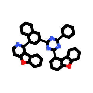 c1ccc(-c2nc(-c3cc(-c4nccc5oc6ccccc6c45)c4ccccc4c3)nc(-c3cccc4oc5ccccc5c34)n2)cc1